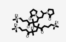 CCC(C)(CC(C)(CC(C)(CC(CC(C)N1CCCC1=O)N1CCCC1=O)C(=O)CCC[N+](C)(C)CC)C(=O)CCC[N+](C)(C)CC)C(=O)CCC[N+](C)(C)CC